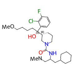 CNCC(CC1CCCCC1)NC(=O)N1CCC[C@@H]([C@@](O)(CCCCOC)c2cccc(F)c2Cl)C1